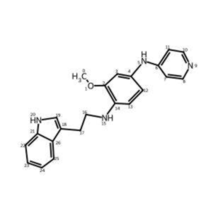 COc1cc(Nc2ccncc2)ccc1NCCc1c[nH]c2ccccc12